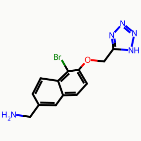 NCc1ccc2c(Br)c(OCc3nnn[nH]3)ccc2c1